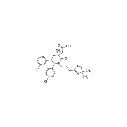 CC1(C)COC(CCCN2C(=O)C(C)(CC(=O)O)CC(c3cccc(Cl)c3)C2c2ccc(Cl)cc2)=N1